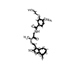 COc1ccc(C(=O)NCC(=O)N(C)/N=C/c2c(C#N)sc3c(F)cccc23)cc1OCCO